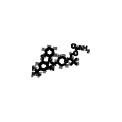 CC(C)(C)C(COC(N)=O)N1CCC(c2nc3cc(C(F)(F)F)cc4c3n2-c2ccccc2S4)CC1